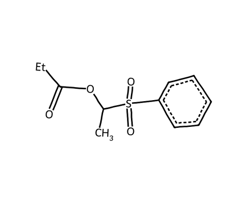 CCC(=O)OC(C)S(=O)(=O)c1ccccc1